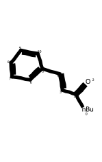 CCCCC(=O)C=Cc1ccccc1